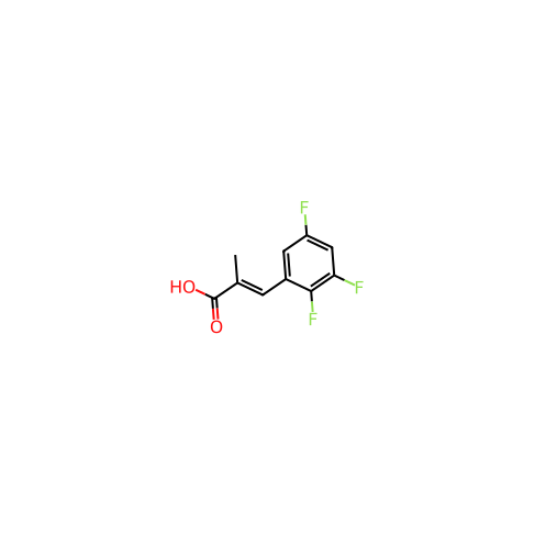 C/C(=C\c1cc(F)cc(F)c1F)C(=O)O